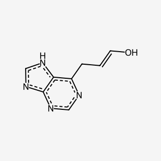 OC=CCc1ncnc2nc[nH]c12